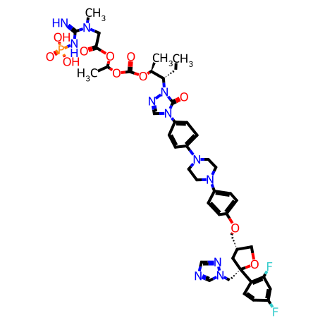 CC[C@@H]([C@H](C)OC(=O)OC(C)OC(=O)CN(C)C(=N)NP(=O)(O)O)n1ncn(-c2ccc(N3CCN(c4ccc(OC[C@@H]5CO[C@@](Cn6cncn6)(c6ccc(F)cc6F)C5)cc4)CC3)cc2)c1=O